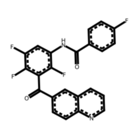 O=C(Nc1cc(F)c(F)c(C(=O)c2ccc3ncccc3c2)c1F)c1ccc(F)cc1